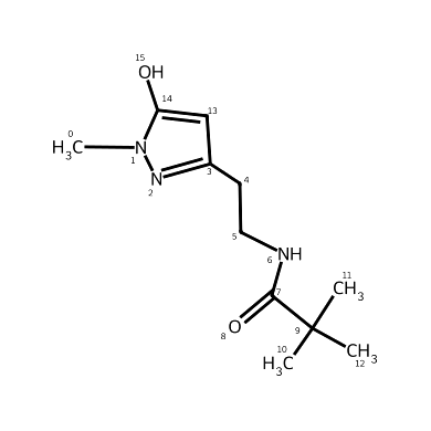 Cn1nc(CCNC(=O)C(C)(C)C)cc1O